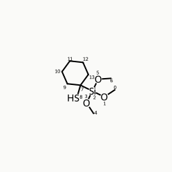 CO[Si](OC)(OC)C1(S)CCCCC1